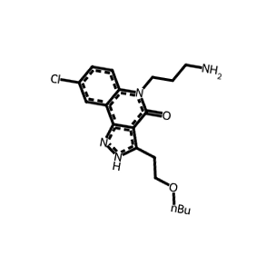 CCCCOCCc1[nH]nc2c1c(=O)n(CCCN)c1ccc(Cl)cc21